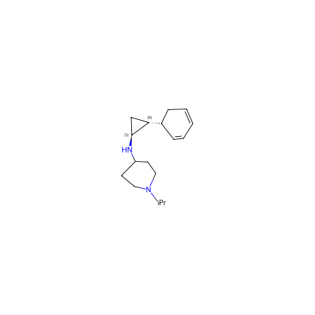 CC(C)N1CCC(N[C@H]2C[C@@H]2C2C=CC=CC2)CC1